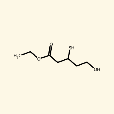 CCOC(=O)CC(S)CCO